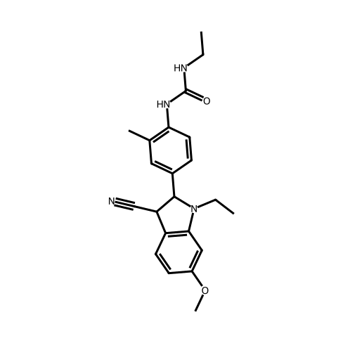 CCNC(=O)Nc1ccc(C2C(C#N)c3ccc(OC)cc3N2CC)cc1C